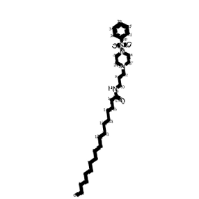 CCCCCCCCCCCCCCCCCC(=O)NCCCN1CCN(S(=O)(=O)c2ccccc2)CC1